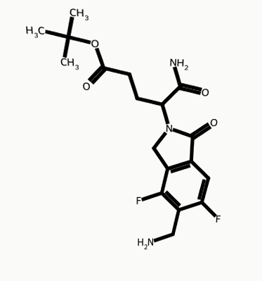 CC(C)(C)OC(=O)CCC(C(N)=O)N1Cc2c(cc(F)c(CN)c2F)C1=O